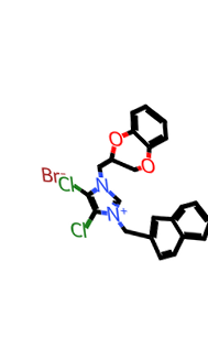 Clc1c(Cl)[n+](Cc2ccc3ccccc3c2)cn1CC1COc2ccccc2O1.[Br-]